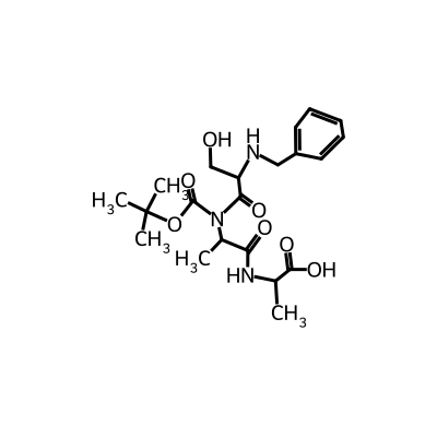 CC(NC(=O)C(C)N(C(=O)OC(C)(C)C)C(=O)C(CO)NCc1ccccc1)C(=O)O